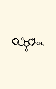 Cc1cc2c(cn1)C(=O)N(Cc1ccccc1)C2=O